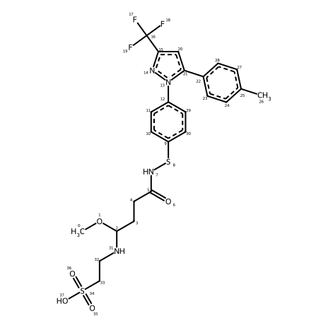 COC(CCC(=O)NSc1ccc(-n2nc(C(F)(F)F)cc2-c2ccc(C)cc2)cc1)NCCS(=O)(=O)O